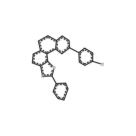 Clc1ccc(-c2ccc3ccc4ccc5nc(-c6ccccc6)oc5c4c3c2)cc1